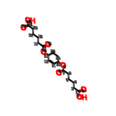 O=C(O)CCCCC(=O)OC1C=CC(OC(=O)CCCCC(=O)O)CC1